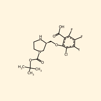 CC(C)(C)OC(=O)N1CCN[C@@H](COc2c(Cl)c(I)c(F)c(F)c2C(=O)O)C1